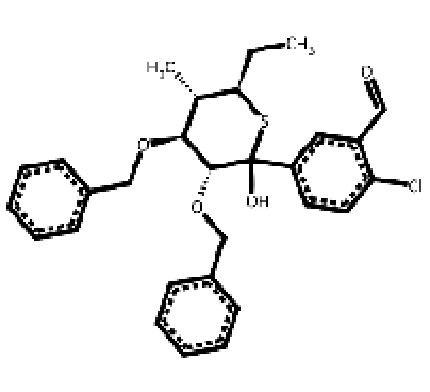 CC[C@H]1SC(O)(c2ccc(Cl)c(C=O)c2)[C@H](OCc2ccccc2)[C@@H](OCc2ccccc2)[C@@H]1C